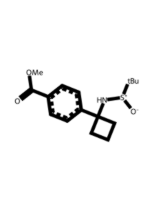 COC(=O)c1ccc(C2(N[S+]([O-])C(C)(C)C)CCC2)cc1